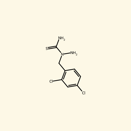 NC(=S)N(N)Cc1ccc(Cl)cc1Cl